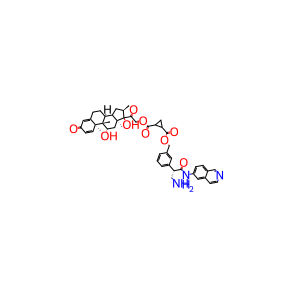 C[C@@H]1CC2[C@@H]3CCC4=CC(=O)C=C[C@]4(C)[C@@]3(C)[C@@H](O)C[C@]2(C)[C@@]1(O)C(=O)COC(=O)C1CC1C(=O)OCc1cccc([C@@H](CN)C(=O)Nc2ccc3cnccc3c2)c1